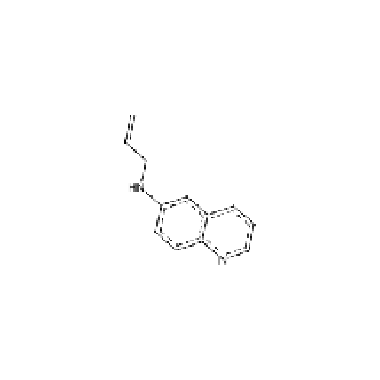 C=CCNc1ccc2ncccc2c1